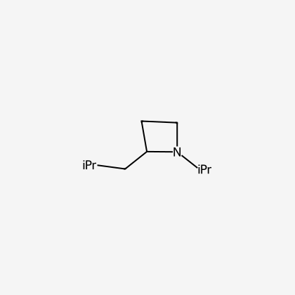 CC(C)CC1CCN1C(C)C